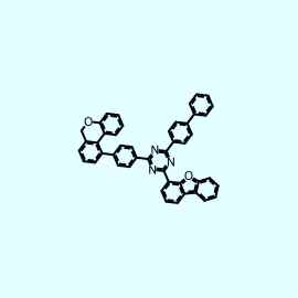 c1ccc(-c2ccc(-c3nc(-c4ccc(-c5cccc6c5-c5ccccc5OC6)cc4)nc(-c4cccc5c4oc4ccccc45)n3)cc2)cc1